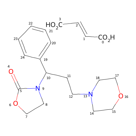 O=C(O)C=CC(=O)O.O=C1OCCN1C(CCN1CCOCC1)c1ccccc1